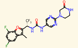 Cc1c([C@@H](NC(=O)Nc2cnc(N3CCNC(=O)C3)nc2)C(F)(F)F)oc2c(F)cc(F)cc12